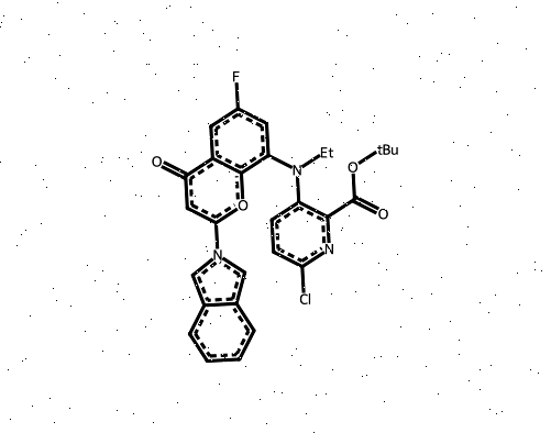 CCN(c1ccc(Cl)nc1C(=O)OC(C)(C)C)c1cc(F)cc2c(=O)cc(-n3cc4ccccc4c3)oc12